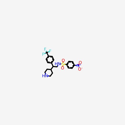 O=[N+]([O-])c1ccc(S(=O)(=O)NCC(c2ccc(C(F)(F)F)cc2)C2CCNCC2)cc1